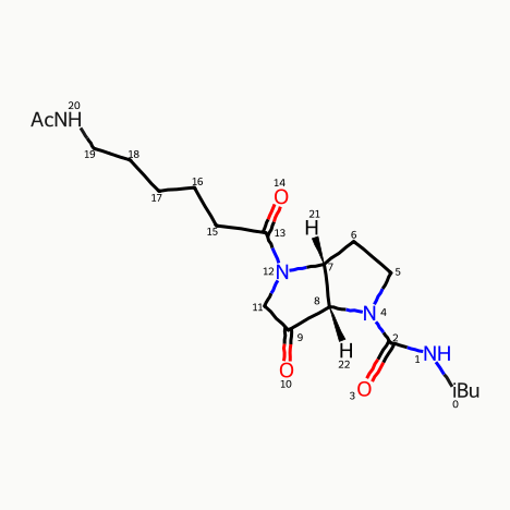 CCC(C)NC(=O)N1CC[C@@H]2[C@H]1C(=O)CN2C(=O)CCCCCNC(C)=O